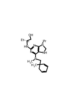 CC[C@H](CO)Nc1nc(N(C)CC2(C)C=CC=CC2)c2c(n1)N(C(C)C)CN2